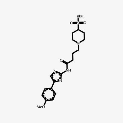 CCCCS(=O)(=O)C1CCN(CCCC(=O)Nc2nc(-c3ccc(OC)cc3)cs2)CC1